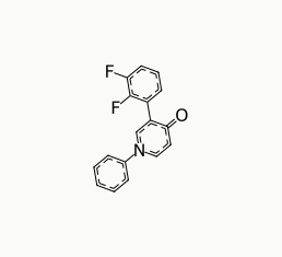 O=c1ccn(-c2ccccc2)cc1-c1cccc(F)c1F